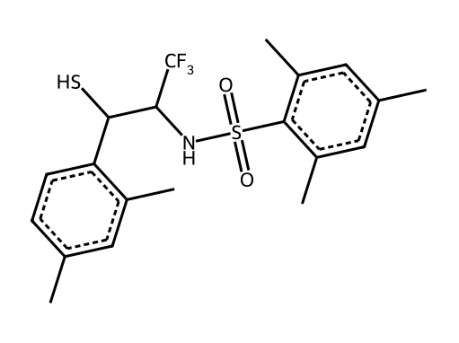 Cc1ccc(C(S)C(NS(=O)(=O)c2c(C)cc(C)cc2C)C(F)(F)F)c(C)c1